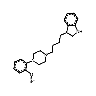 CC(C)Oc1ccccc1N1CCN(CCCCC2CNc3ccccc32)CC1